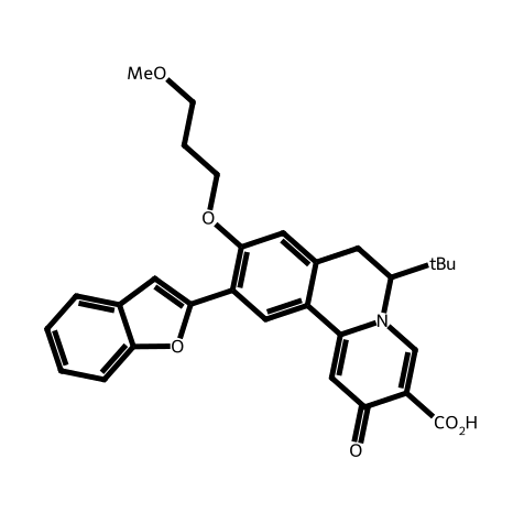 COCCCOc1cc2c(cc1-c1cc3ccccc3o1)-c1cc(=O)c(C(=O)O)cn1C(C(C)(C)C)C2